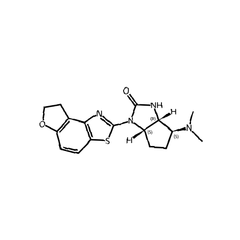 CN(C)[C@H]1CC[C@H]2[C@@H]1NC(=O)N2c1nc2c3c(ccc2s1)OCC3